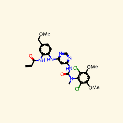 C=CC(=O)Nc1cc(COC)ccc1Nc1cc(NC(=O)N(C)c2c(Cl)c(OC)cc(OC)c2Cl)ncn1